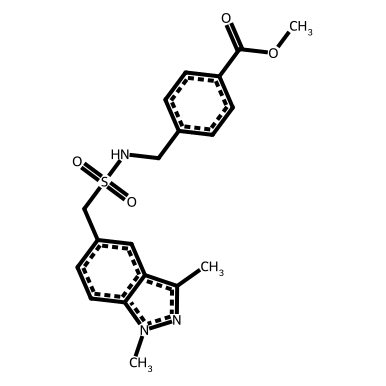 COC(=O)c1ccc(CNS(=O)(=O)Cc2ccc3c(c2)c(C)nn3C)cc1